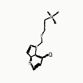 C[Si](C)(C)CCOCn1ccc2nccc(Cl)c21